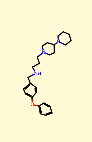 c1ccc(Oc2ccc(CNCCCN3CCC(N4CCCCC4)CC3)cc2)cc1